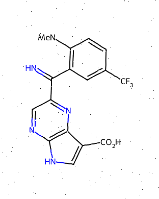 CNc1ccc(C(F)(F)F)cc1C(=N)c1cnc2[nH]cc(C(=O)O)c2n1